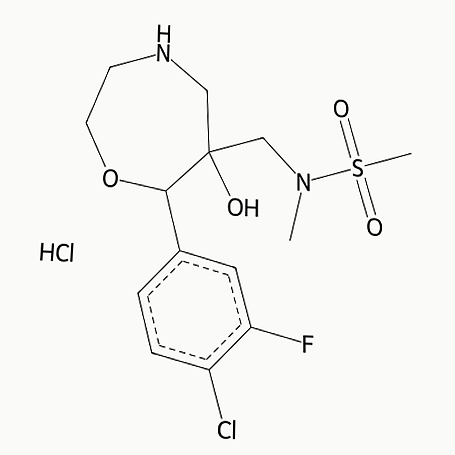 CN(CC1(O)CNCCOC1c1ccc(Cl)c(F)c1)S(C)(=O)=O.Cl